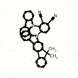 CC1(C)c2ccccc2-c2cc3c4ccccc4n(-c4ccc(C#N)c(C#N)c4-n4c5ccccc5c5ccccc54)c3cc21